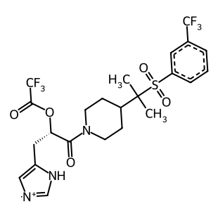 CC(C)(C1CCN(C(=O)[C@H](CC2=C[N+]=CN2)OC(=O)C(F)(F)F)CC1)S(=O)(=O)c1cccc(C(F)(F)F)c1